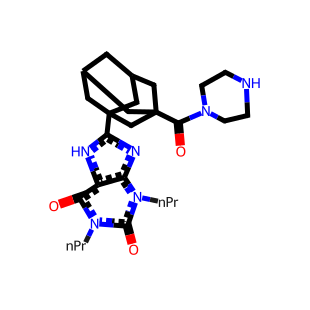 CCCn1c(=O)c2[nH]c(C34CC5CC(CC(C(=O)N6CCNCC6)(C5)C3)C4)nc2n(CCC)c1=O